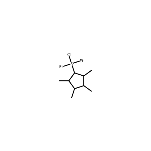 CCS(Cl)(CC)C1C(C)C(C)C(C)C1C